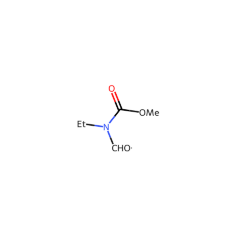 CCN([C]=O)C(=O)OC